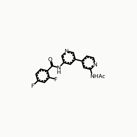 CC(=O)Nc1cc(-c2cncc(NC(=O)c3ccc(F)cc3F)c2)ccn1